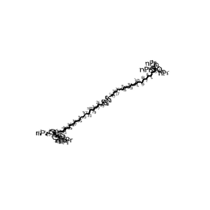 CCCO[Si](CCCCCCCCCCCCCCCCCCSSSSCCCCCCCCCCCCCCCCCC[Si](OCCC)(OCCC)OCCC)(OCCC)OCCC